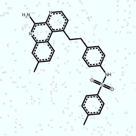 Cc1ccc(S(=O)(=O)Nc2ccc(CCc3ccnc4c(N)nc5cc(C)ccc5c34)cc2)cc1